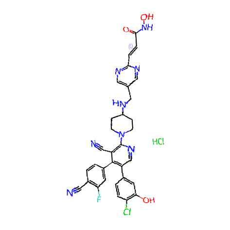 Cl.N#Cc1ccc(-c2c(-c3ccc(Cl)c(O)c3)cnc(N3CCC(NCc4cnc(/C=C/C(=O)NO)nc4)CC3)c2C#N)cc1F